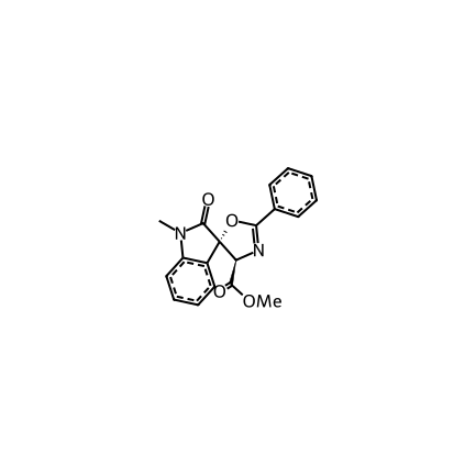 COC(=O)[C@@H]1N=C(c2ccccc2)O[C@]12C(=O)N(C)c1ccccc12